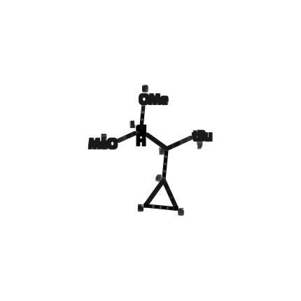 CO[SiH](OC)C(C1CC1)C(C)(C)C